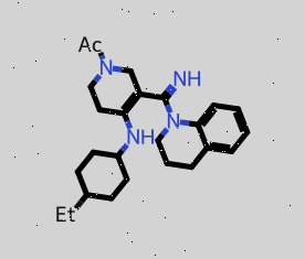 CCC1CCC(NC2=C(C(=N)N3CCCc4ccccc43)CN(C(C)=O)CC2)CC1